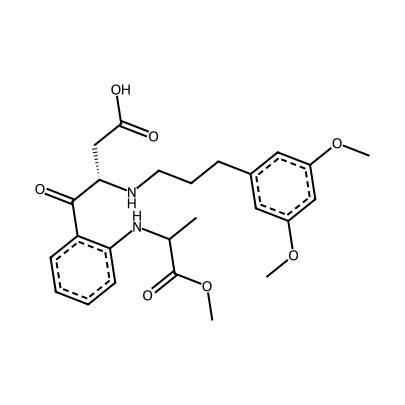 COC(=O)C(C)Nc1ccccc1C(=O)[C@H](CC(=O)O)NCCCc1cc(OC)cc(OC)c1